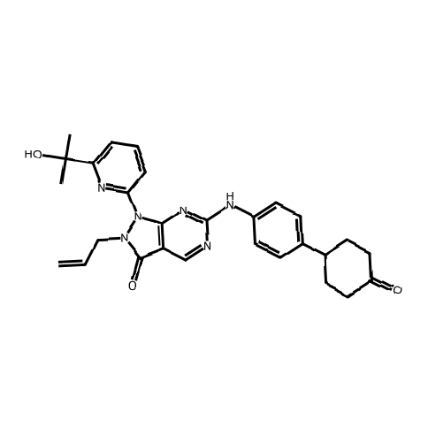 C=CCn1c(=O)c2cnc(Nc3ccc(C4CCC(=O)CC4)cc3)nc2n1-c1cccc(C(C)(C)O)n1